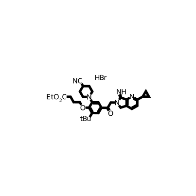 Br.CCOC(=O)CCCOc1c(N2CCC(C#N)CC2)cc(C(=O)CN2Cc3ccc(C4CC4)nc3C2=N)cc1C(C)(C)C